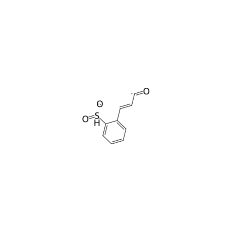 O=[C]/C=C/c1ccccc1[SH](=O)=O